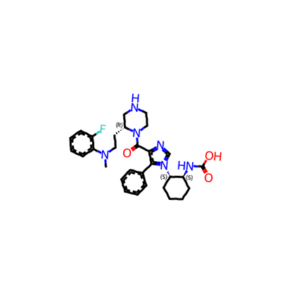 CN(CC[C@@H]1CNCCN1C(=O)c1ncn([C@H]2CCCC[C@@H]2NC(=O)O)c1-c1ccccc1)c1ccccc1F